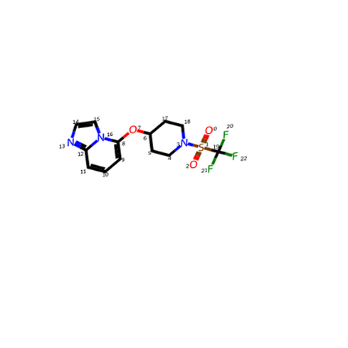 O=S(=O)(N1CCC(Oc2cccc3nccn23)CC1)C(F)(F)F